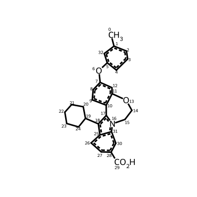 Cc1cccc(Oc2ccc3c(c2)OCCn2c-3c(C3CCCCC3)c3ccc(C(=O)O)cc32)c1